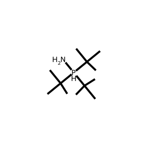 CC(C)(C)[PH](N)(C(C)(C)C)C(C)(C)C